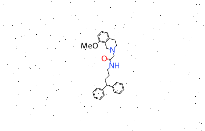 COc1cccc2c1CN(CC(=O)NCCCC(c1ccccc1)c1ccccc1)CC2